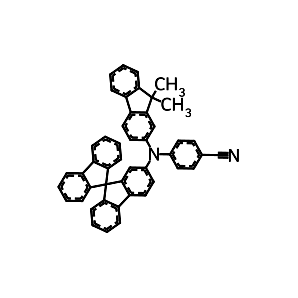 CC1(C)c2ccccc2-c2ccc(N(c3ccc(C#N)cc3)c3ccc4c(c3)C3(c5ccccc5-c5ccccc53)c3ccccc3-4)cc21